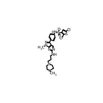 CN1CCN(CCCNc2ncc3c(-c4ccc(NS(=O)(=O)c5cc(Cl)sc5Cl)cc4)nn(C)c3n2)CC1